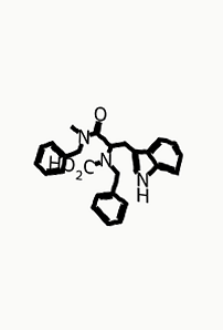 CN(Cc1ccccc1)C(=O)C(Cc1c[nH]c2ccccc12)N(Cc1ccccc1)C(=O)O